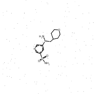 NN(CC1CCOCC1)c1cncc(S(N)(=O)=O)c1